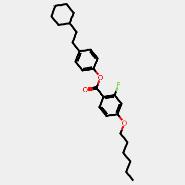 CCCCCCOc1ccc(C(=O)Oc2ccc(CCC3CC[CH]CC3)cc2)c(F)c1